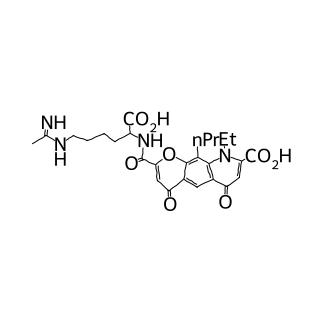 CCCc1c2oc(C(=O)NC(CCCCNC(C)=N)C(=O)O)cc(=O)c2cc2c(=O)cc(C(=O)O)n(CC)c12